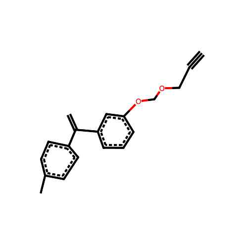 C#CCOCOc1cccc(C(=C)c2ccc(C)cc2)c1